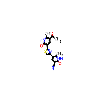 CC(=O)c1cc(-c2nc(-c3cc(C#N)c(=O)[nH]c3C)cs2)c(=O)[nH]c1C